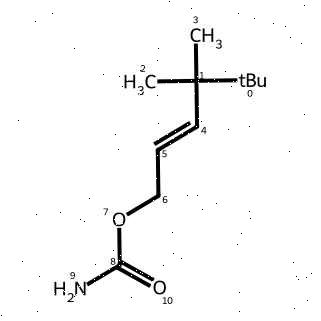 CC(C)(C)C(C)(C)C=CCOC(N)=O